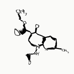 CCOC(=O)c1cn(NC=O)c2nc(C)ccc2c1=O